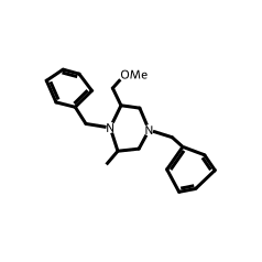 COCC1CN(Cc2ccccc2)CC(C)N1Cc1ccccc1